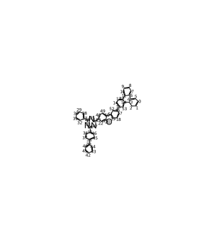 C1=CCC2C(=C1)c1ccccc1-c1ccc(-c3ccc4oc5cc(-c6nc(-c7ccccc7)nc(-c7ccc(-c8ccccc8)cc7)n6)ccc5c4c3)cc12